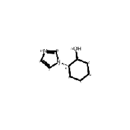 OC1CCCC[C@@H]1n1ccnc1